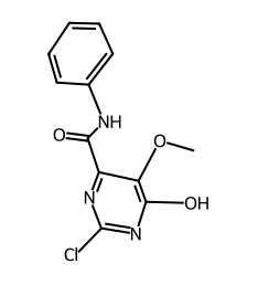 COc1c(O)nc(Cl)nc1C(=O)Nc1ccccc1